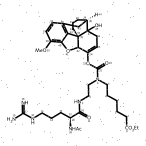 CCOC(=O)CCCCCN(CCNC(=O)[C@H](CCCNC(=N)N)NC(C)=O)C(=O)OC1=CCC2(O)[C@@H]3CCC[C@@]24c2c(ccc(OC)c2OC14)C3